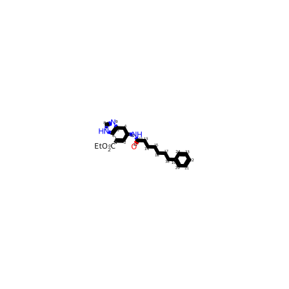 CCOC(=O)/C=C/C(Cc1c[nH]cn1)NC(=O)CCCCCCc1ccccc1